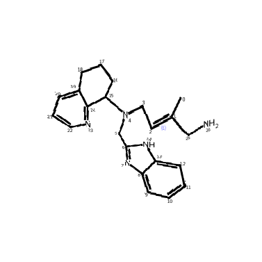 C/C(=C\CN(Cc1nc2ccccc2[nH]1)C1CCCc2cccnc21)CN